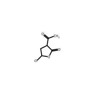 CC(=O)C1CC(Cl)OC1=O